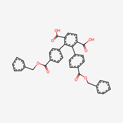 O=C(OCc1ccccc1)c1ccc(-c2c(C(=O)O)ccc(C(=O)O)c2-c2ccc(C(=O)OCc3ccccc3)cc2)cc1